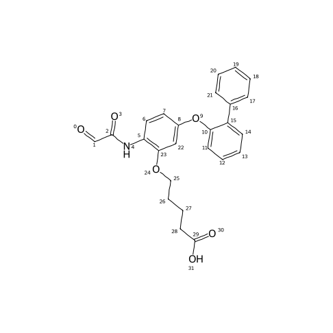 O=CC(=O)Nc1ccc(Oc2ccccc2-c2ccccc2)cc1OCCCCC(=O)O